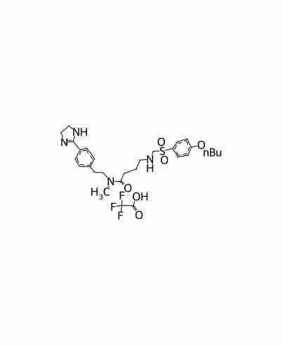 CCCCOc1ccc(S(=O)(=O)CNCCCC(=O)N(C)CCc2ccc(C3=NCCN3)cc2)cc1.O=C(O)C(F)(F)F